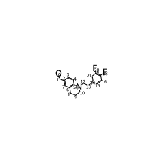 O=Cc1ccc2c(c1)CCCN2CCc1ccc(F)c(F)c1